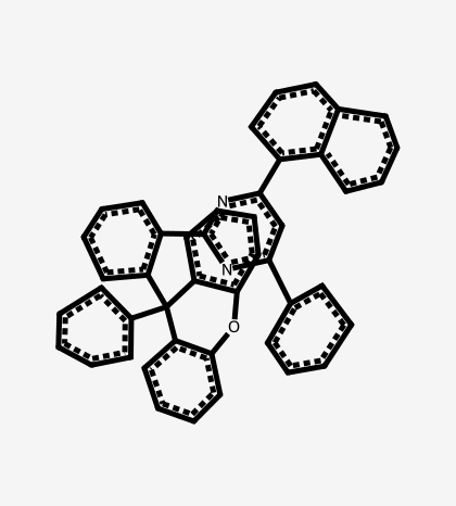 c1ccc(-c2cc(-c3cccc4ccccc34)nc(-c3ccccc3C3(c4ccccc4)c4ccccc4Oc4ccccc43)n2)cc1